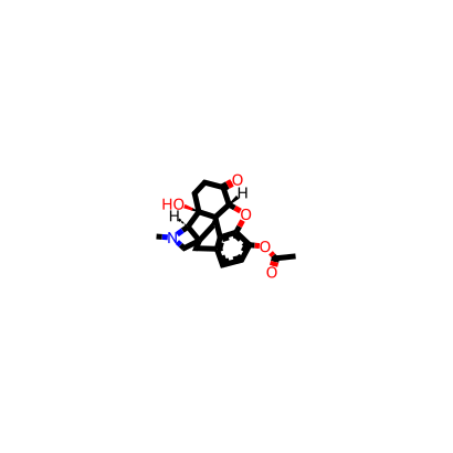 CC(=O)Oc1ccc2c3c1O[C@H]1C(=O)CC[C@@]4(O)[C@@H]5N(C)CC5(C2)C[C@]314